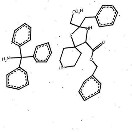 NC(c1ccccc1)(c1ccccc1)c1ccccc1.O=C(O)CC1(Cc2ccccc2)NC(C(=O)OCc2ccccc2)C2(CCNCC2)S1